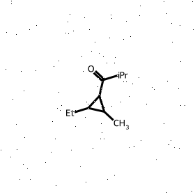 CCC1C(C)C1C(=O)C(C)C